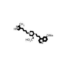 COc1ccc2nccc(CCC[C@@H]3CCN(CCCCc4c[nH]nc4C)C[C@@H]3CC(=O)O)c2c1